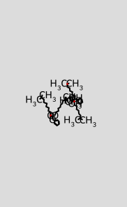 CC(C)CCCCCCCOP(OCCCCCCCC(C)C)Oc1ccccc1.CC(C)CCCCCCCP(O)(O)(O)C(CCCCCCC(C)C)c1ccccc1